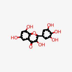 O=c1c(O)c(-c2cc(O)c(O)c(O)c2)oc2c(O)cc(O)cc12